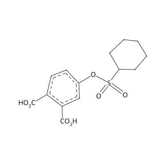 O=C(O)c1ccc(OS(=O)(=O)C2CCCCC2)cc1C(=O)O